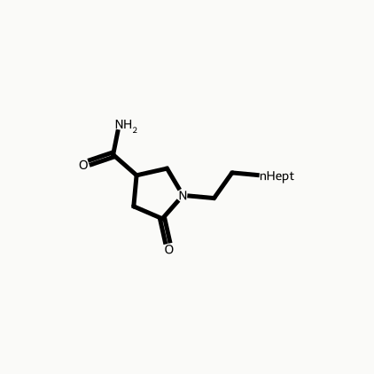 CCCCCCCCCN1CC(C(N)=O)CC1=O